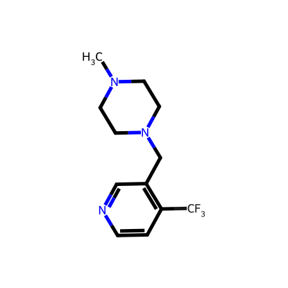 CN1CCN(Cc2cnccc2C(F)(F)F)CC1